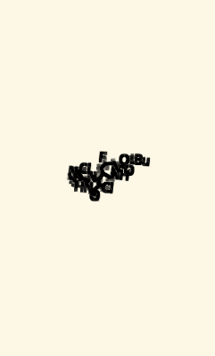 CC(C)(C)OC(=O)N1CC(F)CC(c2nc(-c3scnc3Cl)[nH]c(=O)c2Cl)CN1